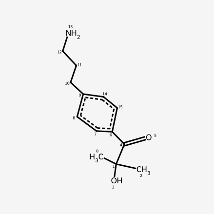 CC(C)(O)C(=O)c1ccc(CCCN)cc1